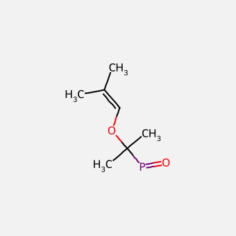 CC(C)=COC(C)(C)P=O